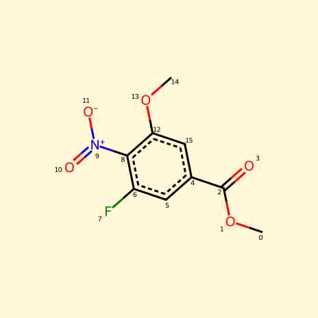 COC(=O)c1cc(F)c([N+](=O)[O-])c(OC)c1